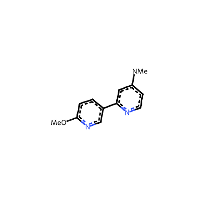 CNc1ccnc(-c2ccc(OC)nc2)c1